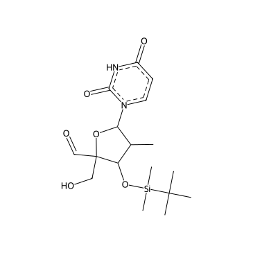 CC1C(n2ccc(=O)[nH]c2=O)OC(C=O)(CO)C1O[Si](C)(C)C(C)(C)C